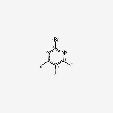 Cc1[c]c(Br)nc(C)c1C